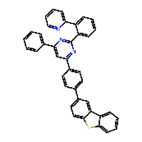 c1ccc(-c2cc(-c3ccc(-c4ccc5sc6ccccc6c5c4)cc3)nc(-c3ccccc3-c3ccccn3)n2)cc1